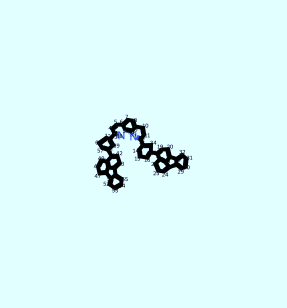 c1cc(-c2ccc3ccc4ccc(-c5cccc(-c6ccc7c8c(cccc68)-c6ccccc6-7)c5)nc4c3n2)cc(-c2ccc3c4c(cccc24)-c2ccccc2-3)c1